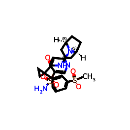 CS(=O)(=O)c1cccc(C2(C(=O)N[C@H]3C[C@H]4CC[C@@H](C3)N4c3ccc(S(N)(=O)=O)cn3)CC2)c1